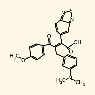 COc1ccc(C(=O)C(Cc2cccc(N(C)C)c2)=C(C(=O)O)c2ccc3nsnc3c2)cc1